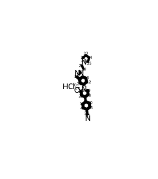 Cl.N#Cc1ccc(-c2ccn(-c3ccc4c(cnn4CCN4CCCC4)c3)c(=O)c2)cc1